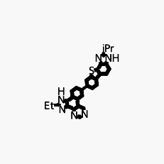 CCc1nc2c3ncncc3c3cc(-c4ccc5c(c4)sc4c5ccc5[nH]c(C(C)C)nc54)ccc3c2[nH]1